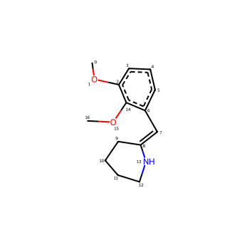 COc1cccc(C=C2CCCCN2)c1OC